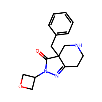 O=C1N(C2COC2)N=C2CCNCC12Cc1ccccc1